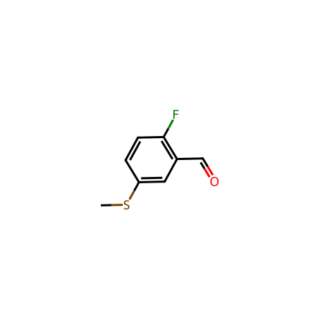 CSc1ccc(F)c(C=O)c1